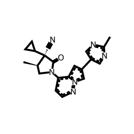 Cc1ncc(-c2cc3c(N4C[C@@H](C)[C@@](C#N)(C5CC5)C4=O)ccnn3c2)cn1